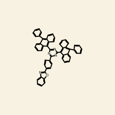 c1ccc(-c2c3ccccc3c(-c3nc(-c4ccc(-c5nc6ccccc6o5)cc4)nc(-c4c5ccccc5c(-c5ccccc5)c5ccccc45)n3)c3ccccc23)cc1